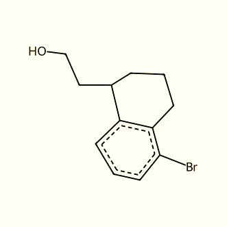 OCCC1CCCc2c(Br)cccc21